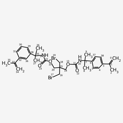 C=C(C)c1ccc(C(C)(C)NC(=O)OCC(CBr)(CBr)COC(=O)NC(C)(C)c2cccc(C(=C)C)c2)cc1